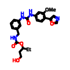 CCC(CCO)OC(=O)NCc1cccc(NC(=O)Nc2ccc(-c3cnco3)c(OC)c2)c1